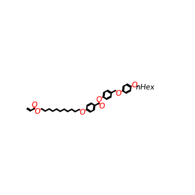 C=CC(=O)OCCCCCCCCCCCOc1ccc(C(=O)Oc2ccc(COc3ccc(OCCCCCC)cc3)cc2)cc1